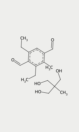 CC(CO)(CO)CO.CCc1cc(C=O)c(C)c(CC)c1C=O